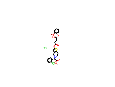 COC(=O)[C@H](c1ccccc1Cl)N1CCc2sc(OC(=O)CCC(=O)Oc3ccccc3OC)cc2C1.Cl